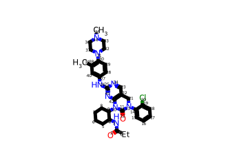 CCC(=O)NC1CCCCC1N1C(=O)N(c2ccccc2Cl)Cc2cnc(Nc3ccc(N4CCN(C)CC4)c(C)c3)nc21